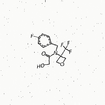 O=C(CO)N(Cc1ccc(F)cc1)C1(C(F)(F)F)COC1